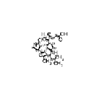 Cc1oc(-c2ccnc(Cl)c2)cc1C(CC(C)C)Nc1ccc(C(=O)N(C)CCC(=O)O)cc1